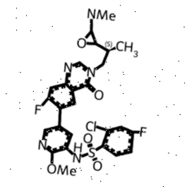 CNC1OC1[C@@H](C)Cn1cnc2cc(F)c(-c3cnc(OC)c(NS(=O)(=O)c4ccc(F)cc4Cl)c3)cc2c1=O